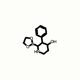 OC1CCNC(B2OCCO2)C1c1ccccc1